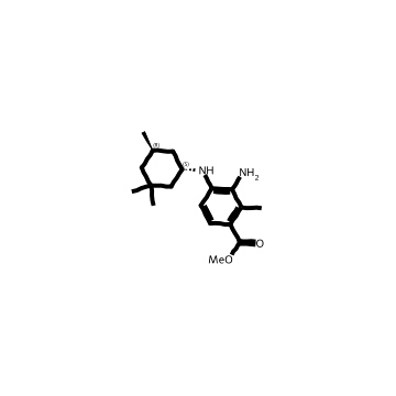 COC(=O)c1ccc(N[C@H]2C[C@H](C)CC(C)(C)C2)c(N)c1C